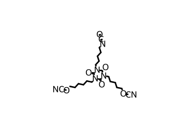 N#COCCCCCCn1c(=O)n(CCCCCN=C=O)c(=O)n(CCCCCOC#N)c1=O